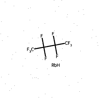 FC(F)(F)C(F)(F)C(F)(F)C(F)(F)F.[RbH]